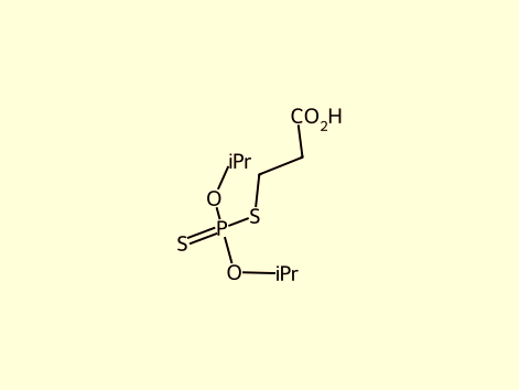 CC(C)OP(=S)(OC(C)C)SCCC(=O)O